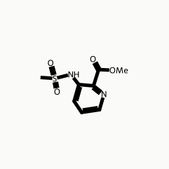 COC(=O)c1ncccc1NS(C)(=O)=O